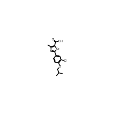 Cc1nc(-c2ccc(OCC(C)C)c(Cl)c2)[se]c1C(=O)O